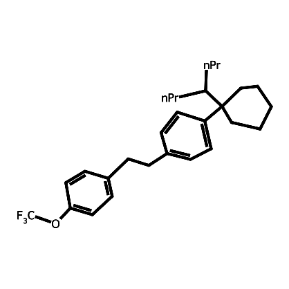 CCCC(CCC)C1(c2ccc(CCc3ccc(OC(F)(F)F)cc3)cc2)CCCCC1